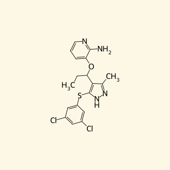 CCC(Oc1cccnc1N)c1c(C)n[nH]c1Sc1cc(Cl)cc(Cl)c1